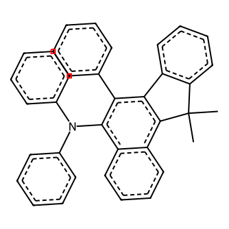 CC1(C)c2ccccc2-c2c(-c3ccccc3)c(N(c3ccccc3)c3ccccc3)c3ccccc3c21